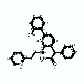 NC(=O)C(c1cccnc1)c1ccc(-c2ccccc2Cl)nc1NCCc1ccccn1